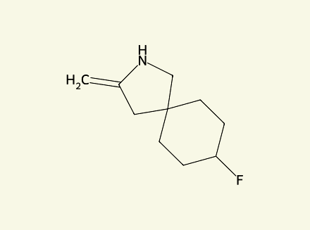 C=C1CC2(CCC(F)CC2)CN1